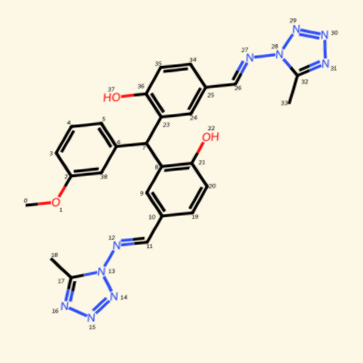 COc1cccc(C(c2cc(C=Nn3nnnc3C)ccc2O)c2cc(C=Nn3nnnc3C)ccc2O)c1